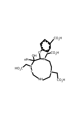 CCCC1(O)C(Oc2ccc(C(=O)O)cc2)N(CC(=O)O)CCN(CC(=O)O)CCNCCN1CC(=O)O